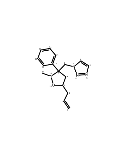 C=CCC1CC(Cn2ccnn2)(c2ccccc2)N(C)O1